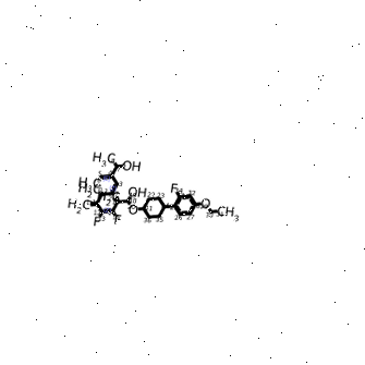 C=C(/C=C\C(=C/C)C(C)O)C(=C)/C(F)=C(/F)C(=C)C(O)OC1CCC(c2ccc(OCC)cc2F)CC1